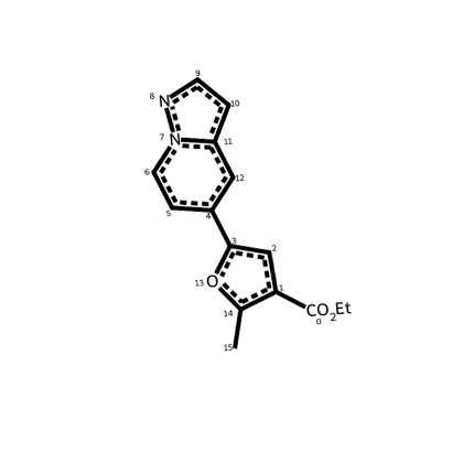 CCOC(=O)c1cc(-c2ccn3nccc3c2)oc1C